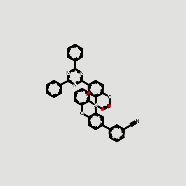 N#Cc1cccc(-c2ccc3c(c2)[Si]2(c4ccccc4O3)c3ccccc3Oc3ccc(-c4nc(-c5ccccc5)nc(-c5ccccc5)n4)cc32)c1